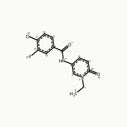 CCn1cc(NC(=O)c2ccc(Cl)c(F)c2)ccc1=O